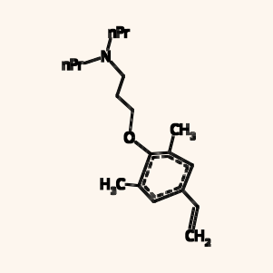 C=Cc1cc(C)c(OCCCN(CCC)CCC)c(C)c1